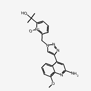 COc1cccc2c(-c3cn(Cc4cccc(C(C)(C)O)[n+]4[O-])nn3)cc(N)nc12